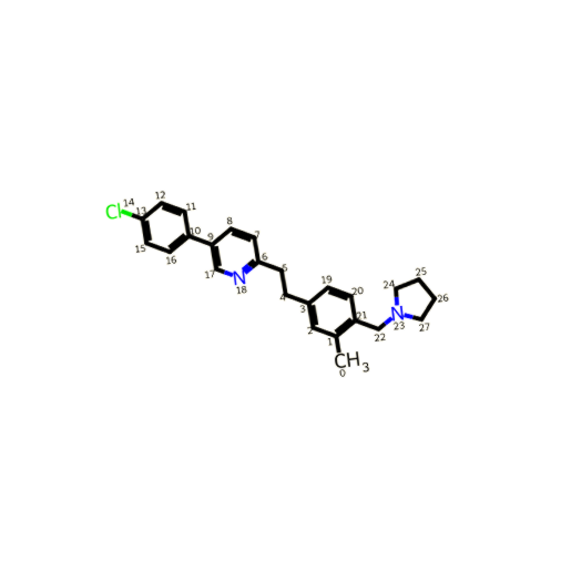 Cc1cc(CCc2ccc(-c3ccc(Cl)cc3)cn2)ccc1CN1CCCC1